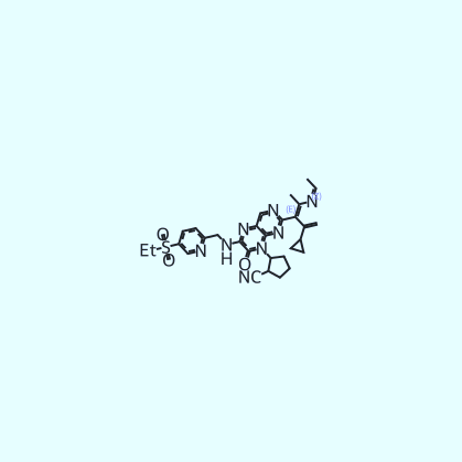 C=C(/C(=C(C)\N=C/C)c1ncc2nc(NCc3ccc(S(=O)(=O)CC)cn3)c(=O)n(C3CCCC3C#N)c2n1)C1CC1